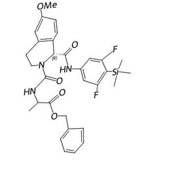 COc1ccc2c(c1)CCN(C(=O)NC(C)C(=O)OCc1ccccc1)[C@H]2C(=O)Nc1cc(F)c([Si](C)(C)C)c(F)c1